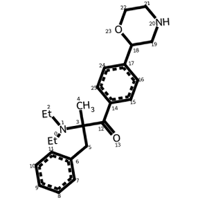 CCN(CC)C(C)(Cc1ccccc1)C(=O)c1ccc(C2CNCCO2)cc1